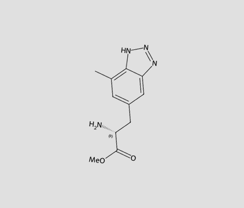 COC(=O)[C@H](N)Cc1cc(C)c2[nH]nnc2c1